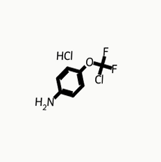 Cl.Nc1ccc(OC(F)(F)Cl)cc1